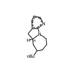 CCCCC1CCCN2c3ncccc3C[C@H]2C1